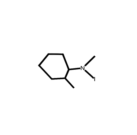 CC1CCCCC1N(C)I